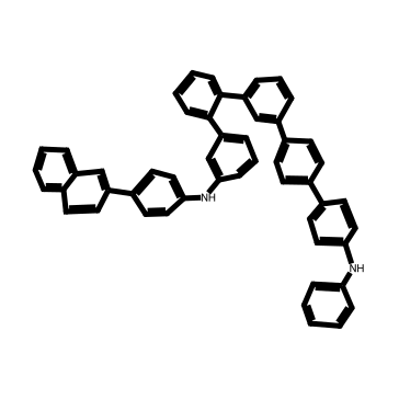 c1ccc(Nc2ccc(-c3ccc(-c4cccc(-c5ccccc5-c5cccc(Nc6ccc(-c7ccc8ccccc8c7)cc6)c5)c4)cc3)cc2)cc1